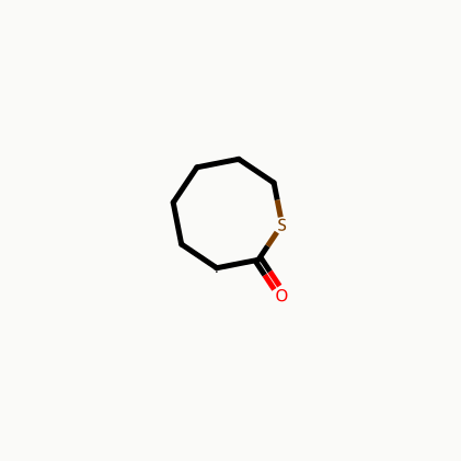 O=C1[CH]CCCCCS1